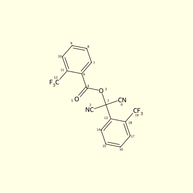 N#CC(C#N)(OC(=O)c1ccccc1C(F)(F)F)c1ccccc1C(F)(F)F